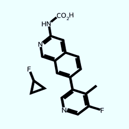 Cc1c(F)cncc1-c1ccc2cc(NC(=O)O)ncc2c1.FC1CC1